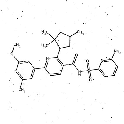 COc1cc(-c2ccc(C(=O)NS(=O)(=O)c3cccc(N)n3)c(N3CC(C)CC3(C)C)n2)cc(C)n1